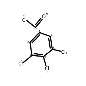 Clc1cccc(Cl)c1Cl.O=CCl